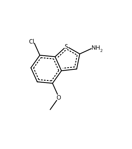 COc1ccc(Cl)c2sc(N)cc12